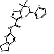 CC1(C)CC(c2ccccn2)Nc2c(C(=O)Nc3ccc4c(c3)CCC4)cnn21